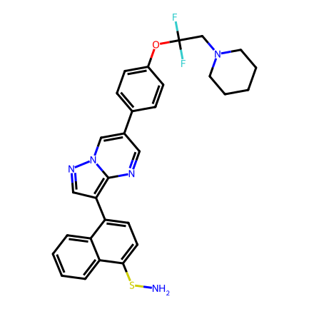 NSc1ccc(-c2cnn3cc(-c4ccc(OC(F)(F)CN5CCCCC5)cc4)cnc23)c2ccccc12